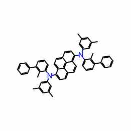 Cc1cc(C)cc(N(c2cccc(-c3ccccc3)c2C)c2ccc3ccc4c(N(c5cc(C)cc(C)c5)c5cccc(-c6ccccc6)c5C)ccc5ccc2c3c54)c1